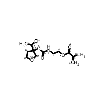 C=C(C)C(=O)OCCNC(=O)OC1(C(C)C)CCOC1